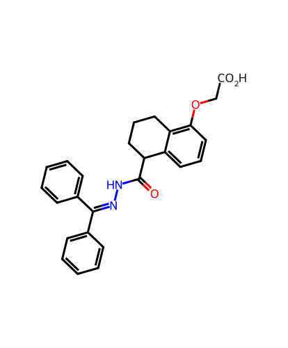 O=C(O)COc1cccc2c1CCCC2C(=O)NN=C(c1ccccc1)c1ccccc1